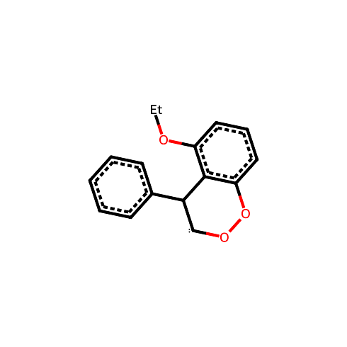 CCOc1cccc2c1C(c1ccccc1)[C]OO2